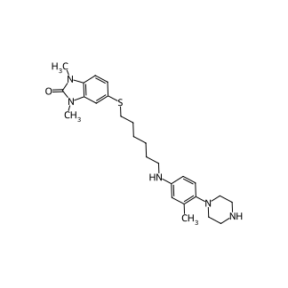 Cc1cc(NCCCCCCSc2ccc3c(c2)n(C)c(=O)n3C)ccc1N1CCNCC1